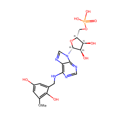 COc1cc(O)cc(CNc2ncnc3c2ncn3[C@@H]2O[C@H](COP(=O)(O)O)[C@@H](O)[C@H]2O)c1O